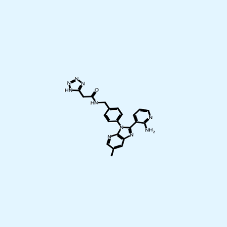 Cc1cnc2c(c1)nc(-c1cccnc1N)n2-c1ccc(CNC(=O)Cc2nnn[nH]2)cc1